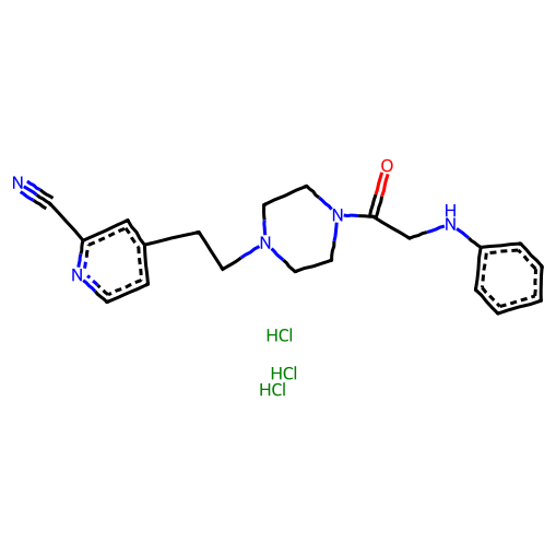 Cl.Cl.Cl.N#Cc1cc(CCN2CCN(C(=O)CNc3ccccc3)CC2)ccn1